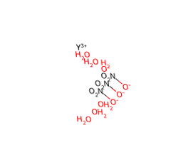 O.O.O.O.O.O.O=[N+]([O-])[O-].O=[N+]([O-])[O-].O=[N+]([O-])[O-].[Y+3]